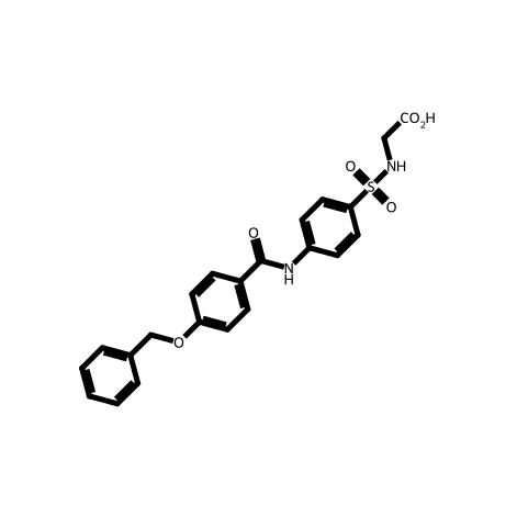 O=C(O)CNS(=O)(=O)c1ccc(NC(=O)c2ccc(OCc3ccccc3)cc2)cc1